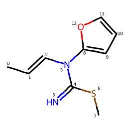 CC=CN(C(=N)SC)c1ccco1